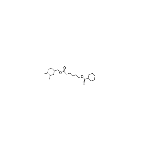 CC1CCC(COC(=O)CCCCCOC(=O)C2CCCCC2)CC1C